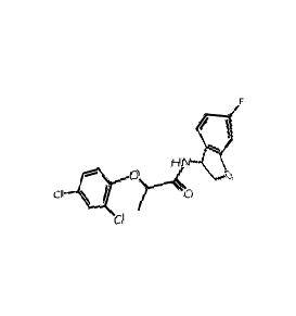 CC(Oc1ccc(Cl)cc1Cl)C(=O)NC1COc2cc(F)ccc21